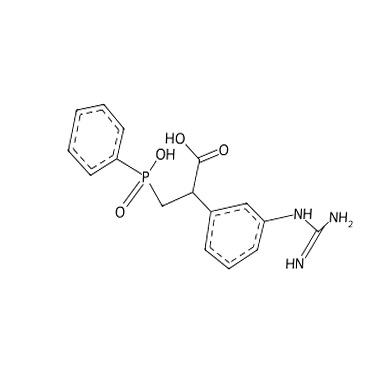 N=C(N)Nc1cccc(C(CP(=O)(O)c2ccccc2)C(=O)O)c1